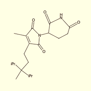 CC1=C(CCC(C)(C(C)C)C(C)C)C(=O)N(C2CCC(=O)NC2=O)C1=O